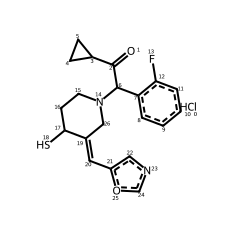 Cl.O=C(C1CC1)C(c1ccccc1F)N1CCC(S)C(=Cc2cnco2)C1